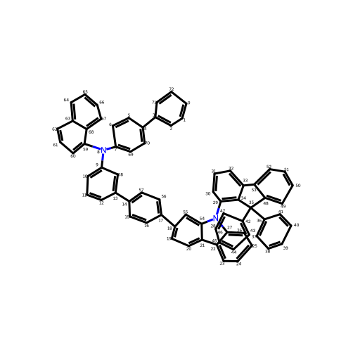 c1ccc(-c2ccc(N(c3cccc(-c4ccc(-c5ccc6c7ccccc7n(-c7cccc8c7C(c7ccccc7)(c7ccccc7)c7ccccc7-8)c6c5)cc4)c3)c3cccc4ccccc34)cc2)cc1